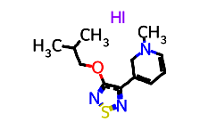 CC(C)COc1nsnc1C1=CC=CN(C)C1.I